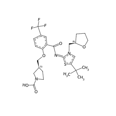 CC(C)(C)c1cn(C[C@H]2CCCO2)c(=NC(=O)c2cc(C(F)(F)F)ccc2OC[C@H]2CCN(C(=O)O)C2)s1